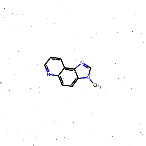 Cn1[c]nc2c3cccnc3ccc21